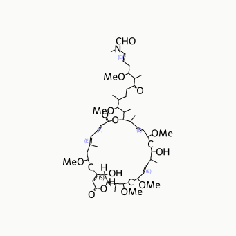 COC1/C=C/C(C)C(C(C)C(OC)C(C)CCC(=O)C(C)C(C/C=C/N(C)C=O)OC)OC(=O)/C=C/C=C(\C)CC(OC)CC2=CC(=O)O[C@@H](C(C)C(OC)CC(OC)/C=C/C(C)C(O)C1)[C@H]2O